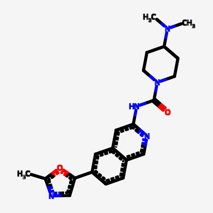 Cc1ncc(-c2ccc3cnc(NC(=O)N4CCC(N(C)C)CC4)cc3c2)o1